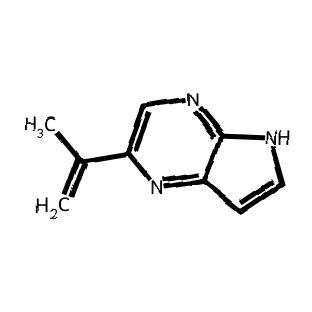 C=C(C)c1cnc2[nH]ccc2n1